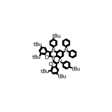 CC(C)(C)c1ccc(N2c3cc(N(c4ccccc4)c4ccccc4)cc4c3B(c3oc5c(C(C)(C)C)cc(C(C)(C)C)cc5c32)c2oc3c(C(C)(C)C)cc(C(C)(C)C)cc3c2N4c2ccc(C(C)(C)C)cc2)cc1